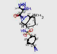 C[C@@H]1CC[C@H](NS(=O)(=O)c2ccc(C#N)cc2)[C@@H]2CN(C(=O)c3cnn[nH]3)C[C@@H]21